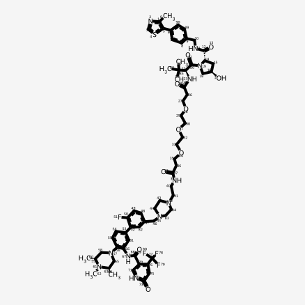 Cc1ncsc1-c1ccc(CNC(=O)[C@@H]2C[C@@H](O)CN2C(=O)[C@@H](NC(=O)CCOCCOCCOCCC(=O)NCCN2CCN(Cc3ccc(F)c(-c4ccc(N5C[C@@H](C)N(C)[C@@H](C)C5)c(NC(=O)c5c[nH]c(=O)cc5C(F)(F)F)c4)c3)CC2)C(C)(C)C)cc1